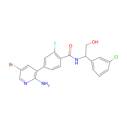 Nc1ncc(Br)cc1-c1ccc(C(=O)NC(CO)c2cccc(Cl)c2)c(F)c1